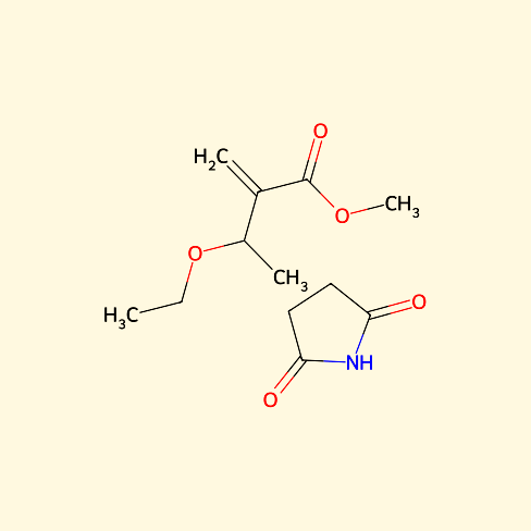 C=C(C(=O)OC)C(C)OCC.O=C1CCC(=O)N1